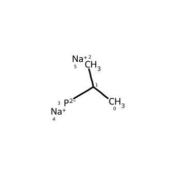 CC(C)[P-2].[Na+].[Na+]